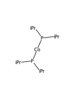 CC(C)[P]([Co][P](C(C)C)C(C)C)C(C)C